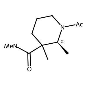 CNC(=O)C1(C)CCCN(C(C)=O)[C@H]1C